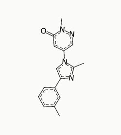 Cc1cccc(-c2cn(-c3cnn(C)c(=O)c3)c(C)n2)c1